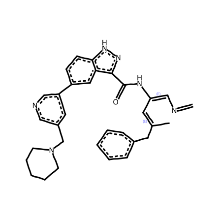 C=N/C=C(\C=C(/C)Cc1ccccc1)NC(=O)c1n[nH]c2ccc(-c3cncc(CN4CCCCC4)c3)cc12